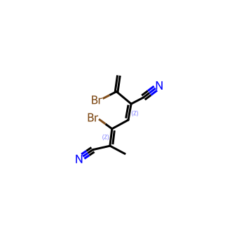 C=C(Br)/C(C#N)=C\C(Br)=C(/C)C#N